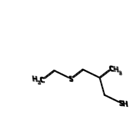 CCSCC(C)CS